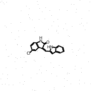 O=C1Nc2ccc(Cl)cc2/C1=C/c1cc2ccccc2[nH]1